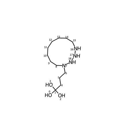 OC(O)(O)CCCN1CCCCCCCCNNN1